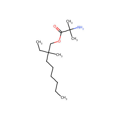 CCCCCCC(C)(CC)COC(=O)C(C)(C)N